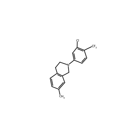 Cc1ccc2c(c1)CN(c1ccc(C(F)(F)F)c(Cl)c1)CC2